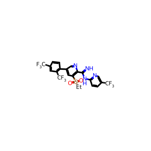 CCS(=O)(=O)c1cc(-c2ccc(C(F)(F)F)cc2C(F)(F)F)cnc1C(=N)Nc1ccc(C(F)(F)F)cn1